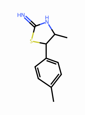 Cc1ccc(C2SC(=N)NC2C)cc1